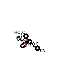 N#Cc1ccc(COc2cccc(N3CC4CCC(C3)N4Cc3nc4ccc(C(=O)O)cc4n3Cc3ncco3)n2)c(F)c1